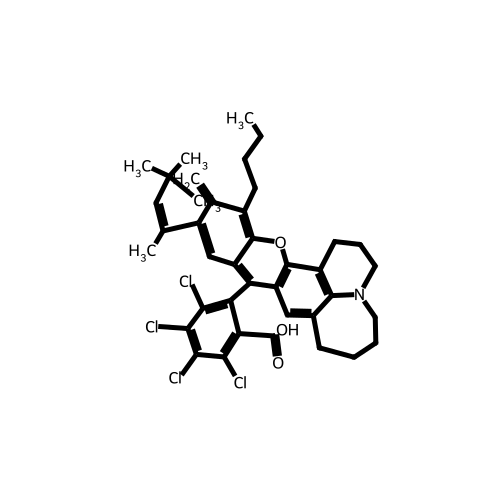 C=c1c(/C(C)=C\C(C)(C)C)cc2c(c1CCCC)Oc1c(cc3c4c1CCCN4CCCC3)C=2c1c(Cl)c(Cl)c(Cl)c(Cl)c1C(=O)O